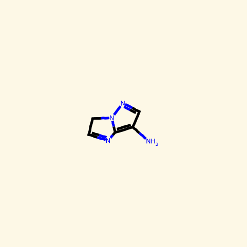 Nc1cnn2c1N=CC2